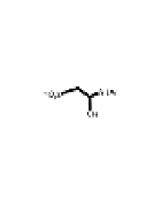 CC(=O)NC(O)CS(=O)(=O)O